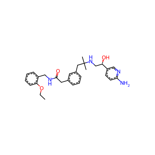 CCOc1ccccc1CNC(=O)Cc1cccc(CC(C)(C)NC[C@@H](O)c2ccc(N)nc2)c1